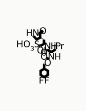 CC(C)CC(NC(=O)OCC1CCC(F)(F)CC1)C(=O)NC(C[C@@H]1CCNC1=O)C(O)S(=O)(=O)O